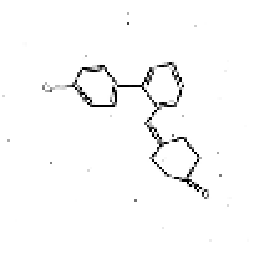 O=C1CCC(=Cc2ccccc2-c2ccc(Cl)cc2)CC1